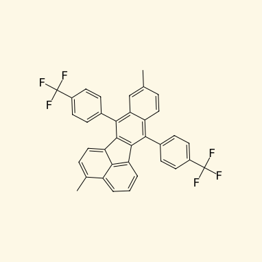 Cc1ccc2c(-c3ccc(C(F)(F)F)cc3)c3c(c(-c4ccc(C(F)(F)F)cc4)c2c1)-c1ccc(C)c2cccc-3c12